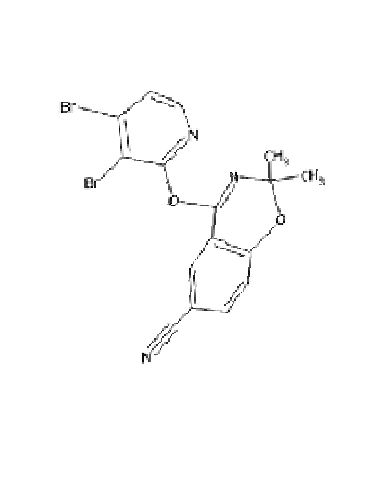 CC1(C)N=C(Oc2nccc(Br)c2Br)c2cc(C#N)ccc2O1